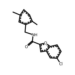 Cc1ccc(C)c(CNC(=O)c2cc3cc(Cl)ccc3o2)c1